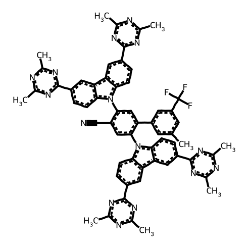 Cc1cc(-c2cc(-n3c4ccc(-c5nc(C)nc(C)n5)cc4c4cc(-c5nc(C)nc(C)n5)ccc43)c(C#N)cc2-n2c3ccc(-c4nc(C)nc(C)n4)cc3c3cc(-c4nc(C)nc(C)n4)ccc32)cc(C(F)(F)F)c1